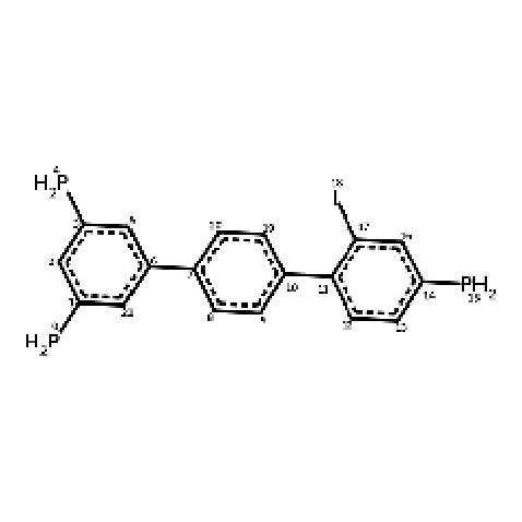 Pc1cc(P)cc(-c2ccc(-c3ccc(P)cc3I)cc2)c1